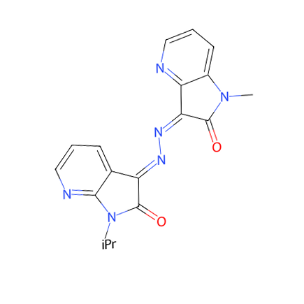 CC(C)N1C(=O)/C(=N/N=C2\C(=O)N(C)c3cccnc32)c2cccnc21